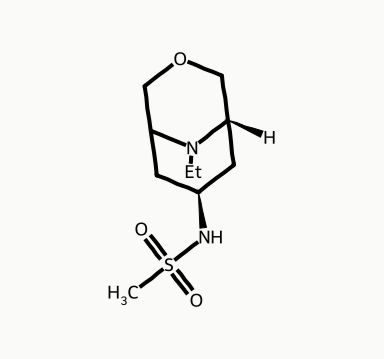 CCN1C2COC[C@@H]1C[C@@H](NS(C)(=O)=O)C2